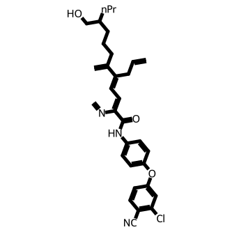 C=CC/C(=C\C=C(/N=C)C(=O)Nc1ccc(Oc2ccc(C#N)c(Cl)c2)cc1)C(=C)CCCC(CO)CCC